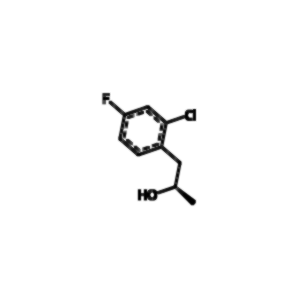 C[C@@H](O)Cc1ccc(F)cc1Cl